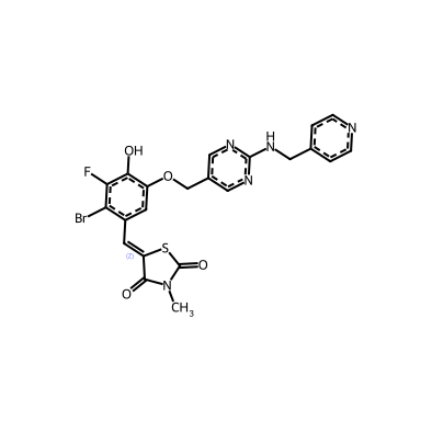 CN1C(=O)S/C(=C\c2cc(OCc3cnc(NCc4ccncc4)nc3)c(O)c(F)c2Br)C1=O